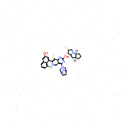 Oc1cc(-c2ncc3c(N4CC5CCC(C4)N5)nc(OC[C@]45C[C@@H](F)CN4[C@H]4CCC[C@H]4C5)nc3c2F)c2c(Cl)cccc2c1